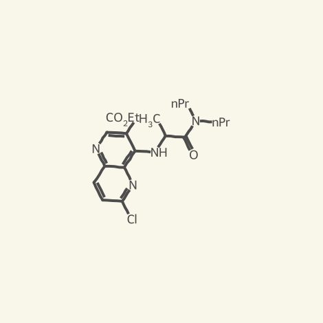 CCCN(CCC)C(=O)C(C)Nc1c(C(=O)OCC)cnc2ccc(Cl)nc12